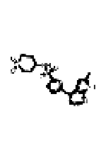 Cc1cc2c(-c3ccc(S(=O)(=O)NC4CCS(=O)(=O)CC4)s3)ccnc2[nH]1